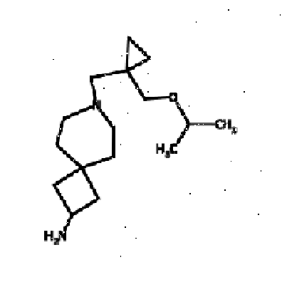 CC(C)OCC1(CN2CCC3(CC2)CC(N)C3)CC1